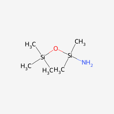 C[Si](C)(C)O[Si](C)(C)N